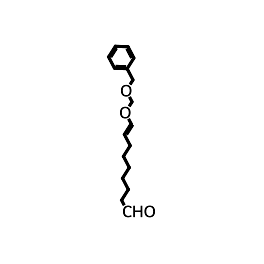 O=CCCCCCCC=COCOCc1ccccc1